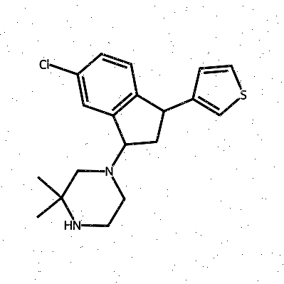 CC1(C)CN(C2CC(c3ccsc3)c3ccc(Cl)cc32)CCN1